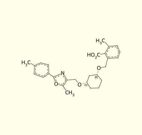 Cc1ccc(-c2nc(CO[C@H]3CCC[C@@H](OCc4cccc(C)c4C(=O)O)C3)c(C)o2)cc1